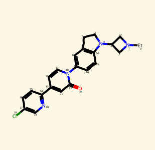 CCN1CC(N2CCc3cc(-n4ccc(-c5ccc(Cl)cn5)cc4=O)ccc32)C1